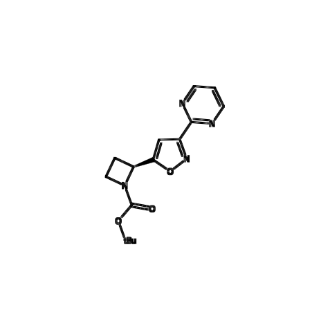 CC(C)(C)OC(=O)N1CC[C@H]1c1cc(-c2ncccn2)no1